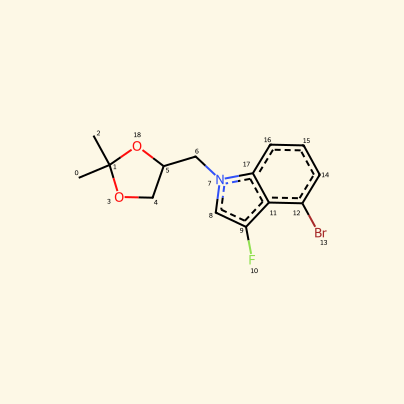 CC1(C)OCC(Cn2cc(F)c3c(Br)cccc32)O1